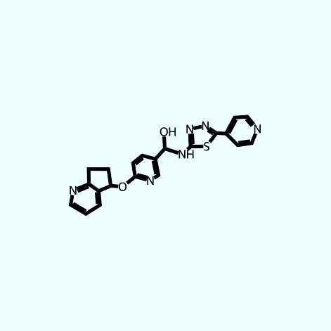 OC(Nc1nnc(-c2ccncc2)s1)c1ccc(OC2CCc3ncccc32)nc1